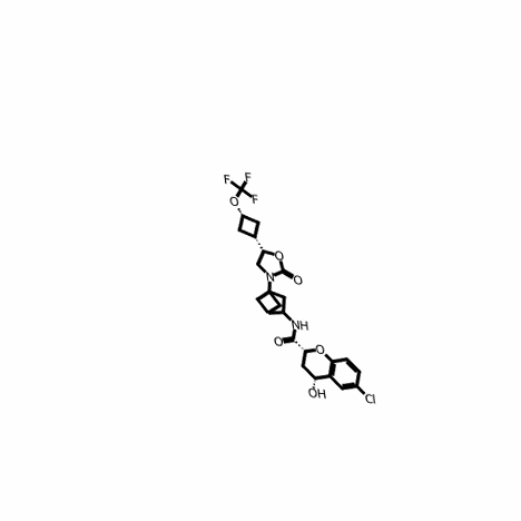 O=C(NC1CC2(N3CC([C@H]4C[C@@H](OC(F)(F)F)C4)OC3=O)CC1C2)[C@H]1C[C@@H](O)c2cc(Cl)ccc2O1